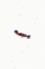 Cc1cc(CCN2CCN(C(=O)Oc3ccc(CCOc4cccnc4)cc3)CC2)on1